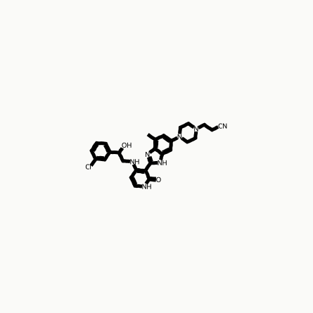 Cc1cc(N2CCN(CCC#N)CC2)cc2[nH]c(-c3c(NCC(O)c4cccc(Cl)c4)cc[nH]c3=O)nc12